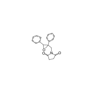 O=C1CCC(=O)N1CC1(c2ccccc2)OC1c1ccccc1